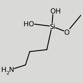 CO[Si](O)(O)CCCN